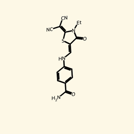 CCn1c(=C(C#N)C#N)s/c(=C\Nc2ccc(C(N)=O)cc2)c1=O